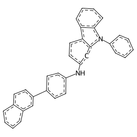 c1ccc(-n2c3ccccc3c3ccc(Nc4ccc(-c5ccc6ccccc6c5)cc4)cc32)cc1